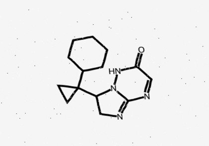 O=C1C=NC2=NCC(C3(C4CCCCC4)CC3)N2N1